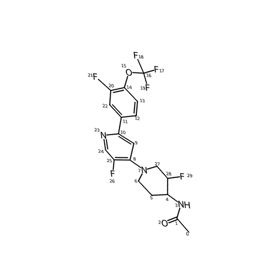 CC(=O)NC1CCN(c2cc(-c3ccc(OC(F)(F)F)c(F)c3)ncc2F)CC1F